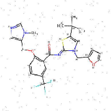 Cn1cncc1COc1ccc(C(F)(F)F)cc1C(=O)/N=c1\sc(C(C)(C)C)cn1Cc1ccco1